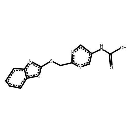 O=C(O)Nc1cnc(CSc2nc3ccccc3s2)nc1